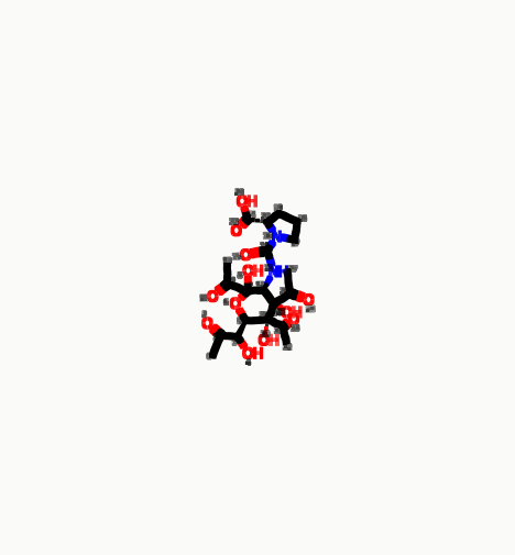 CC(=O)C(O)[C@H]1OC(O)(C(C)=O)[C@@H](NC(=O)N2CCC[C@H]2C(=O)O)[C@](O)(C(C)=O)[C@@]1(O)C(C)=O